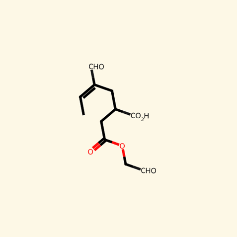 CC=C(C=O)CC(CC(=O)OCC=O)C(=O)O